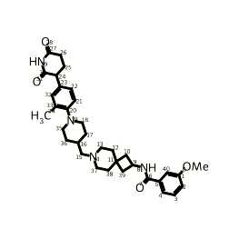 COc1cccc(C(=O)NC2CC3(CCN(CC4CCN(c5ccc(C6CCC(=O)NC6=O)cc5C)CC4)CC3)C2)c1